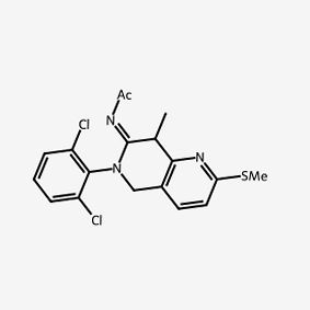 CSc1ccc2c(n1)C(C)C(=NC(C)=O)N(c1c(Cl)cccc1Cl)C2